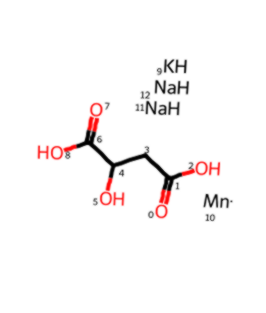 O=C(O)CC(O)C(=O)O.[KH].[Mn].[NaH].[NaH]